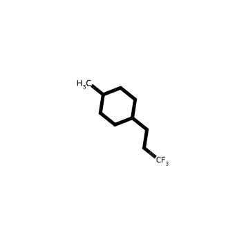 CC1CCC(CCC(F)(F)F)CC1